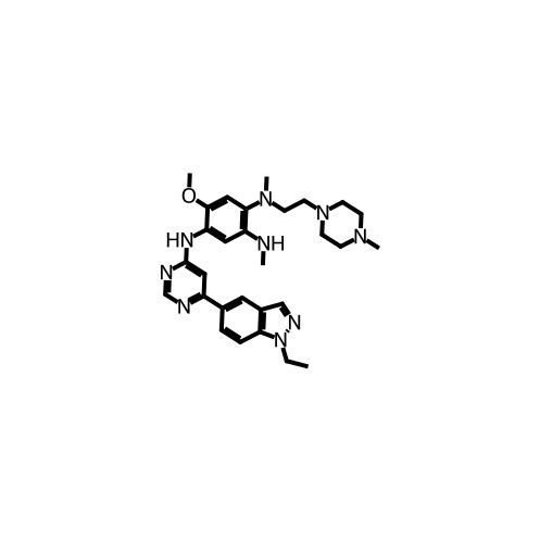 CCn1ncc2cc(-c3cc(Nc4cc(NC)c(N(C)CCN5CCN(C)CC5)cc4OC)ncn3)ccc21